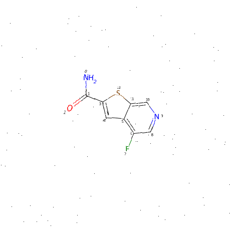 NC(=O)c1cc2c(F)cncc2s1